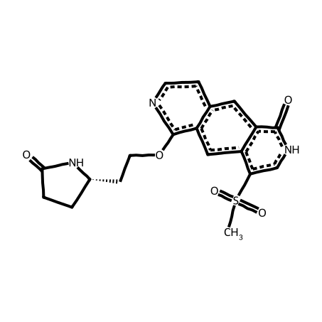 CS(=O)(=O)c1c[nH]c(=O)c2cc3ccnc(OCC[C@@H]4CCC(=O)N4)c3cc12